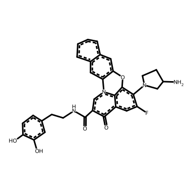 NC1CCN(c2c(F)cc3c(=O)c(C(=O)NCCc4ccc(O)c(O)c4)cn4c3c2Oc2cc3ccccc3cc2-4)C1